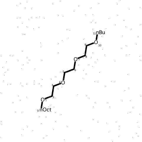 CCCCCCCCOCCOCCOCCOCCCC